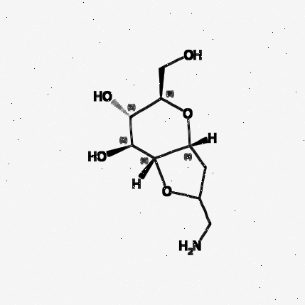 NCC1C[C@H]2O[C@H](CO)[C@@H](O)[C@H](O)[C@H]2O1